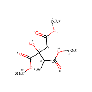 CCCCCCCCOC(=O)CC(O)(C(=O)OCCCCCCCC)C(C(C)=O)C(=O)OCCCCCCCC